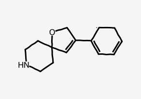 [CH]1CC=CC=C1C1=CC2(CCNCC2)OC1